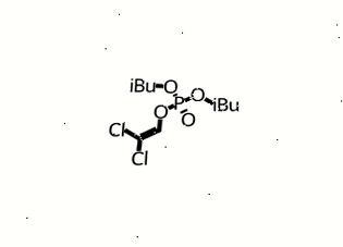 CCC(C)OP(=O)(OC=C(Cl)Cl)OC(C)CC